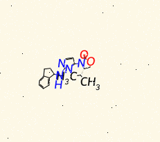 CC(C)[C@H]1COC(=O)N1c1ccnc(N[C@@H]2CCc3ccccc32)n1